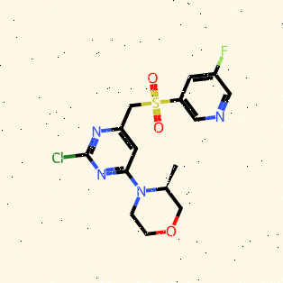 C[C@H]1COCCN1c1cc(CS(=O)(=O)c2cncc(F)c2)nc(Cl)n1